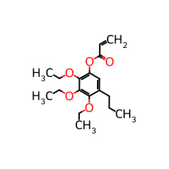 C=CC(=O)Oc1cc(CCC)c(OCC)c(OCC)c1OCC